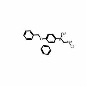 CCNC[C@H](O)c1ccc(OCc2ccccc2)cc1.c1ccccc1